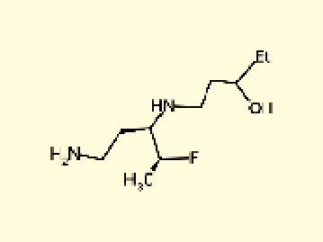 CCC(O)CCN[C@H](CCN)[C@H](C)F